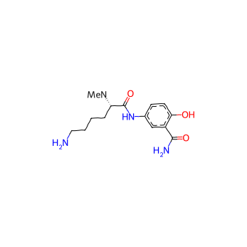 CN[C@@H](CCCCN)C(=O)Nc1ccc(O)c(C(N)=O)c1